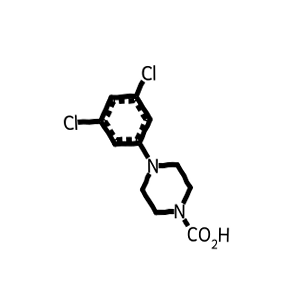 O=C(O)N1CCN(c2cc(Cl)cc(Cl)c2)CC1